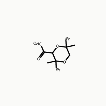 CC(C)C1(C)COC(C)(C(C)C)C(C(=O)C=O)O1